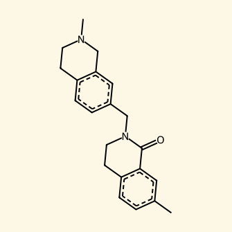 Cc1ccc2c(c1)C(=O)N(Cc1ccc3c(c1)CN(C)CC3)CC2